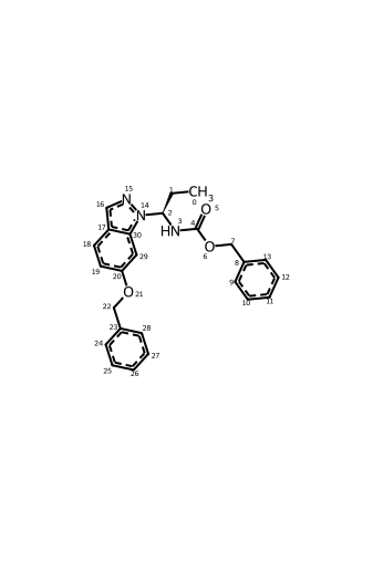 CC[C@@H](NC(=O)OCc1ccccc1)n1ncc2ccc(OCc3ccccc3)cc21